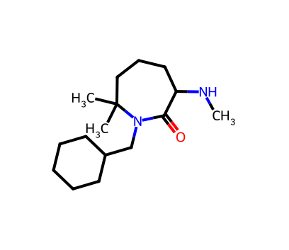 CNC1CCCC(C)(C)N(CC2CCCCC2)C1=O